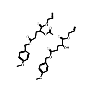 C=CCOC(=O)C(CCC(=O)OCc1ccc(OC)cc1)OC(C)=O.C=CCOC(=O)C(O)CCC(=O)OCc1ccc(OC)cc1